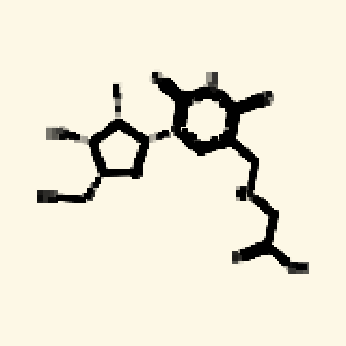 O=C(O)CNCc1cn([C@@H]2O[C@H](CO)[C@H](O)[C@@H]2F)c(=O)[nH]c1=O